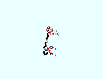 CO[Si](CCCSCCCN1CCC[Si]1(OC)OC)(OC)OC